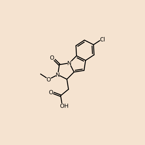 CON1C(=O)n2c(cc3cc(Cl)ccc32)C1CC(=O)O